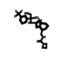 CC(CO)(Nc1nc2c(CNC(=O)N3CCC3)cccc2[nH]1)c1cccc(C(F)(F)F)c1